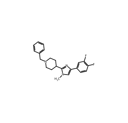 Cn1cc(-c2ccc(F)c(F)c2)nc1C1CCN(Cc2ccccc2)CC1